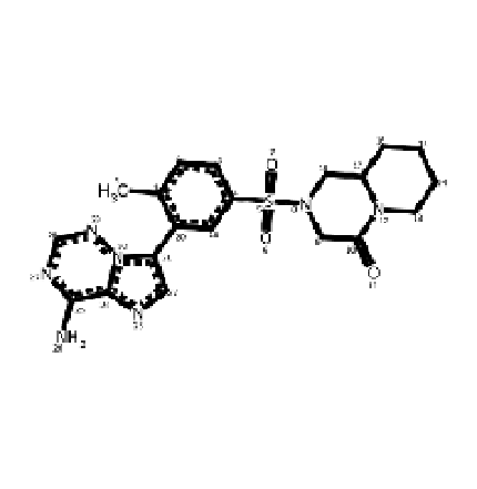 Cc1ccc(S(=O)(=O)N2CC(=O)N3CCCCC3C2)cc1-c1cnc2c(N)ncnn12